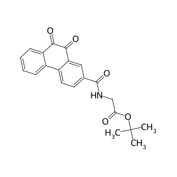 CC(C)(C)OC(=O)CNC(=O)c1ccc2c(c1)C(=O)C(=O)c1ccccc1-2